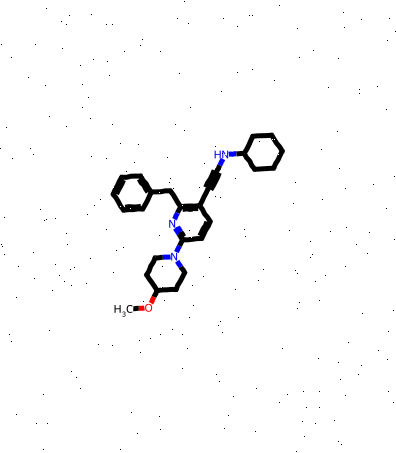 COC1CCN(c2ccc(C#CNC3CCCCC3)c(Cc3ccccc3)n2)CC1